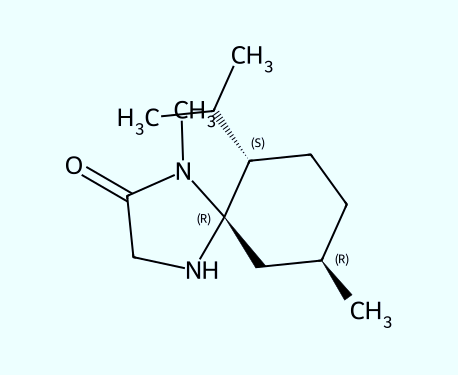 CC(C)[C@@H]1CC[C@@H](C)C[C@]12NCC(=O)N2C